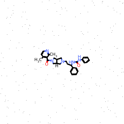 Cc1ccnc(C)c1C(=O)N1CC2CN(CCC(NC(=O)Nc3ccccc3)c3ccccc3)C[C@H]2C1